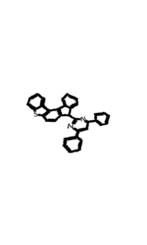 c1ccc(-c2cc(-c3ccccc3)nc(C3c4ccccc4-c4c3ccc3sc5ccccc5c43)n2)cc1